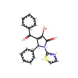 O=C(C1=C(O)C(=O)N(c2nccs2)C1c1ccccc1)c1ccccc1